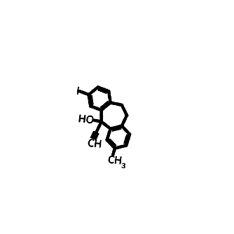 C#CC1(O)c2cc(C)ccc2CCc2ccc(I)cc21